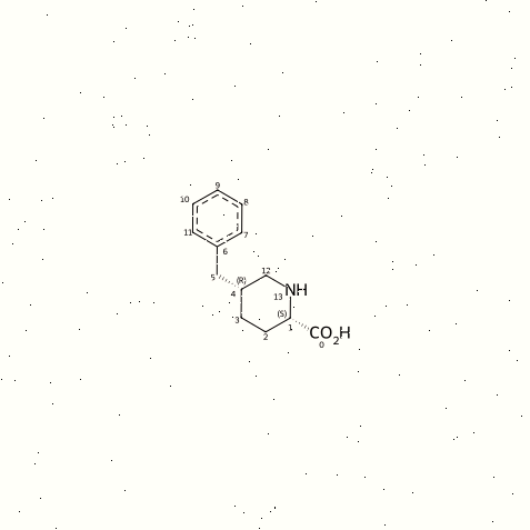 O=C(O)[C@@H]1CC[C@H](Cc2ccccc2)CN1